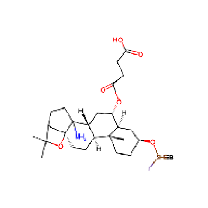 B#[SH](I)O[C@H]1CC[C@@]2(C)[C@H](C1)[C@@H](OC(=O)CCC(=O)O)C[C@@H]1[C@@H]2CC[C@]23OC(C)(C)C2CCC13N